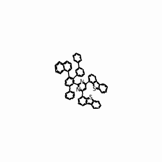 c1ccc(-c2cccc(-c3c(-c4cccc5ccccc45)ccc(-c4ccccc4)c3-c3nc(-c4cccc5c4sc4ccccc45)cc(-c4cccc5c4sc4ccccc45)n3)c2)cc1